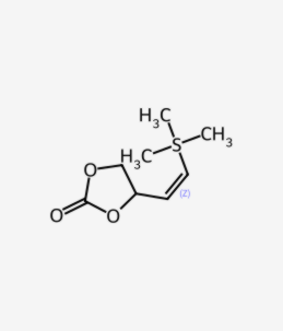 CS(C)(C)/C=C\C1COC(=O)O1